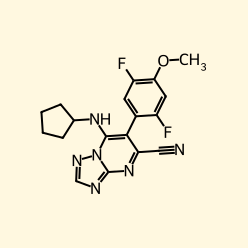 COc1cc(F)c(-c2c(C#N)nc3ncnn3c2NC2CCCC2)cc1F